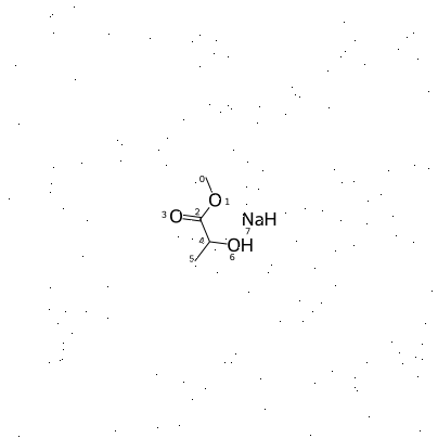 COC(=O)C(C)O.[NaH]